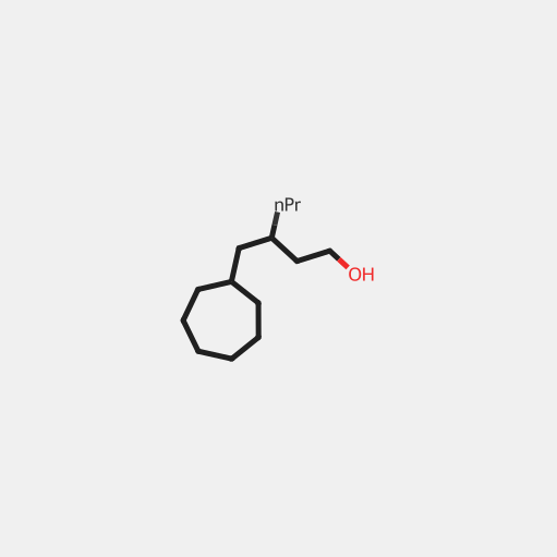 CCCC(CCO)CC1CCCCCC1